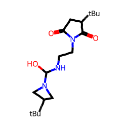 CC(C)(C)C1CN(C(O)NCCN2C(=O)CC(C(C)(C)C)C2=O)C1